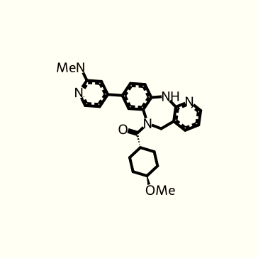 CNc1cc(-c2ccc3c(c2)N(C(=O)[C@H]2CC[C@H](OC)CC2)Cc2cccnc2N3)ccn1